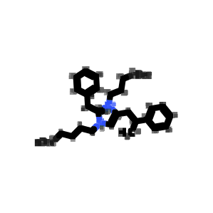 CCCCCCCCCCCCCCn1cc(CC(C)c2ccccc2)[n+](CCCCCCCCCCCCC)c1Cc1ccccc1